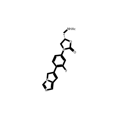 CC(=O)NC[C@H]1CN(c2ccc(C3=Cc4cncn4C3)c(F)c2)C(=O)O1